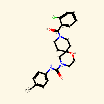 O=C(Nc1ccc(C(F)(F)F)cc1)N1CCOC2(CCN(C(=O)c3ccccc3Cl)CC2)C1